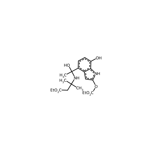 CCOC(=O)CC(C)(C)NC(C)(O)c1ccc(O)c2[nH]c(OC(=O)OCC)cc12